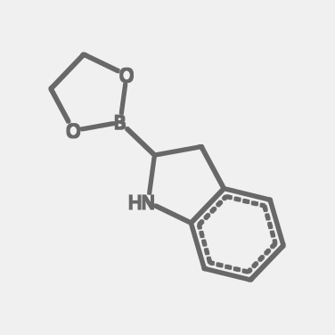 c1ccc2c(c1)CC(B1OCCO1)N2